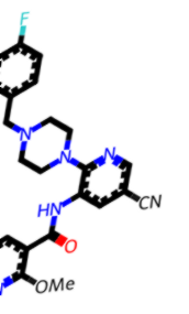 COc1ncccc1C(=O)Nc1cc(C#N)cnc1N1CCN(Cc2ccc(F)cc2)CC1